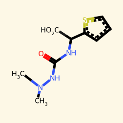 CN(C)NC(=O)NC(C(=O)O)c1cccs1